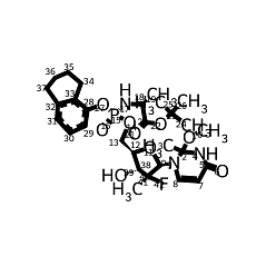 COC1(C)NC(=O)C=CN1[C@@H]1O[C@H](COP(=O)(N[C@@H](C)C(=O)OC(C)(C)C)Oc2cccc3c2CCCC3)[C@@H](O)[C@@]1(C)F